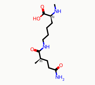 CN[C@@H](CCCCNC(=O)[C@H](C)CCC(N)=O)C(=O)O